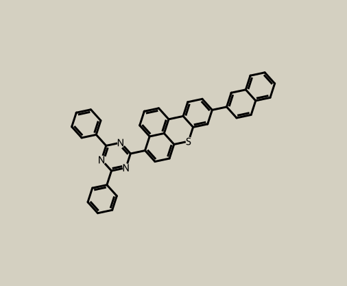 c1ccc(-c2nc(-c3ccccc3)nc(-c3ccc4c5c(cccc35)-c3ccc(-c5ccc6ccccc6c5)cc3S4)n2)cc1